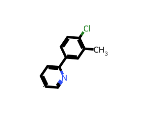 Cc1cc(-c2cc[c]cn2)ccc1Cl